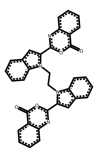 O=c1oc(-c2cc3ccccc3n2CCn2c(-c3nc4ccccc4c(=O)o3)cc3ccccc32)nc2ccccc12